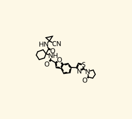 N#CC1(NC(=O)C2(NC(=O)c3cc4ccc(-c5csc(N6CCCC6=O)n5)cc4o3)CCCCC2)CC1